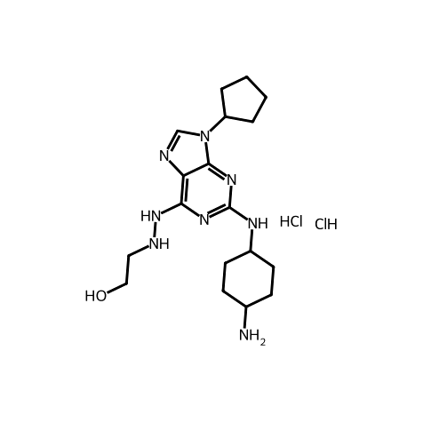 Cl.Cl.NC1CCC(Nc2nc(NNCCO)c3ncn(C4CCCC4)c3n2)CC1